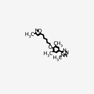 Cc1cc(CCCCCOc2c(C)cc(-c3nnnn3C)cc2C)on1